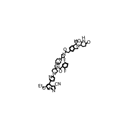 CCOc1cc(-c2ccc(N3CCC(CN4CCN(C5CN(C(=O)Cc6ccc7c(c6)CN(C6CCC(=O)NC6O)C7=O)C5)CC4)(NC(=O)c4cc(F)ccc4F)CC3)nc2)c2c(C#N)cnn2c1